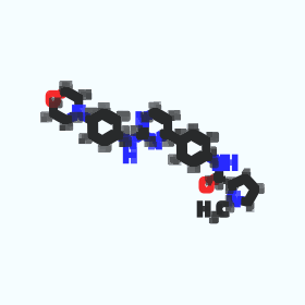 CN1CCC[C@H]1C(=O)Nc1ccc(-c2ccnc(Nc3ccc(N4CCOCC4)cc3)n2)cc1